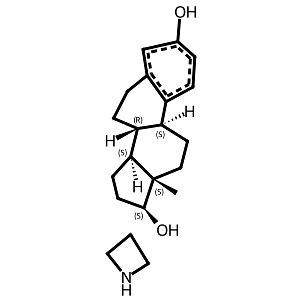 C1CNC1.C[C@]12CC[C@@H]3c4ccc(O)cc4CC[C@H]3[C@@H]1CC[C@@H]2O